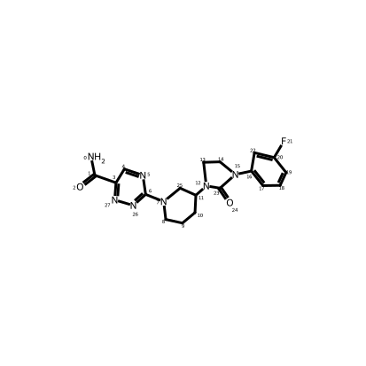 NC(=O)c1cnc(N2CCCC(N3CCN(c4cccc(F)c4)C3=O)C2)nn1